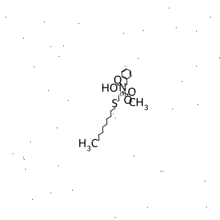 CCCCCCCCCCSCC[C@@H](C(=O)OC)N(Cc1ccccc1)C(=O)O